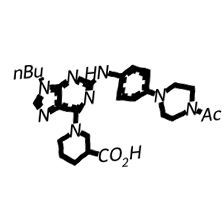 CCCCn1cnc2c(N3CCCC(C(=O)O)C3)nc(Nc3ccc(N4CCN(C(C)=O)CC4)cc3)nc21